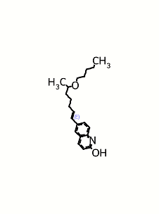 CCCCCOC(C)CCC/C=C/c1ccc2nc(O)ccc2c1